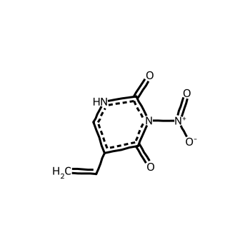 C=Cc1c[nH]c(=O)n([N+](=O)[O-])c1=O